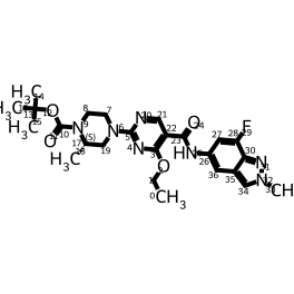 CCOc1nc(N2CCN(C(=O)OC(C)(C)C)[C@@H](C)C2)ncc1C(=O)Nc1cc(F)c2nn(C)cc2c1